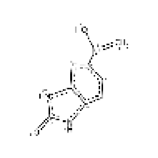 C=[N+](O)c1ccc2[nH]c(=O)[nH]c2c1